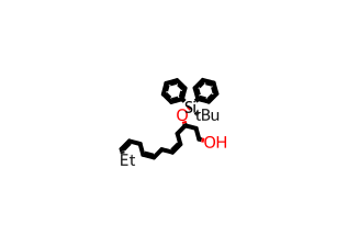 CC/C=C\C/C=C\C/C=C\CC(CCO)O[Si](c1ccccc1)(c1ccccc1)C(C)(C)C